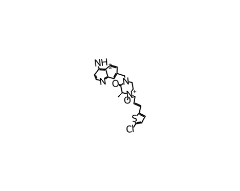 C[C@H]1C(=O)N(Cc2ccc3c(N)ccnc3c2)CC[N+]1([O-])CC=Cc1ccc(Cl)s1